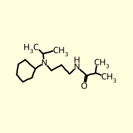 CC(C)C(=O)NCCCN(C(C)C)C1CCCCC1